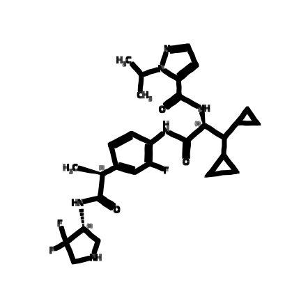 CC(C)n1nccc1C(=O)N[C@H](C(=O)Nc1ccc([C@H](C)C(=O)N[C@@H]2CNCC2(F)F)cc1F)C(C1CC1)C1CC1